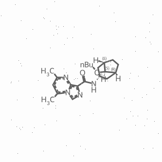 CCCCO[C@@H]1[C@@H]2CC[C@H]1C[C@@H](NC(=O)c1ncn3c(C)cc(C)nc13)C2